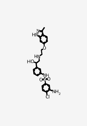 Cc1n[nH]c2cc(OCCNCC(O)c3cccc(NS(=O)(=O)c4ccc(Cl)c(N)c4)c3)ccc12